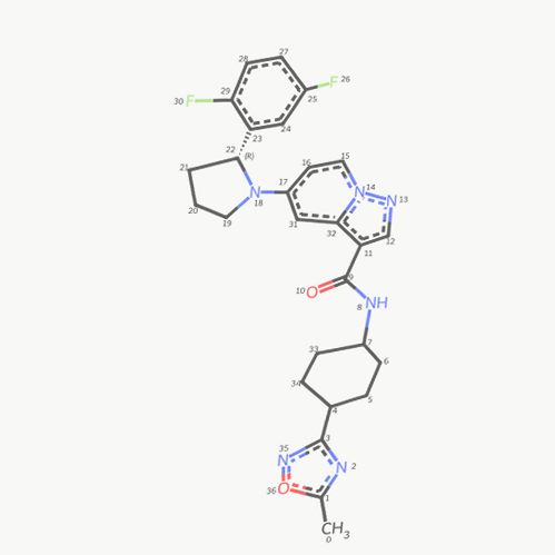 Cc1nc(C2CCC(NC(=O)c3cnn4ccc(N5CCC[C@@H]5c5cc(F)ccc5F)cc34)CC2)no1